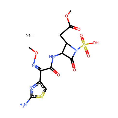 CON=C(C(=O)NC1C(=O)N(S(=O)(=O)O)C1CC(=O)OC)c1csc(N)n1.[NaH]